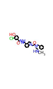 CNCCN(Cc1ccccc1)C(=O)Cn1ccc2c(/C=N/NC(=O)c3ccc(O)c(Cl)c3)cccc21